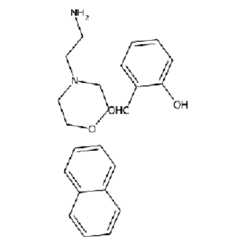 NCCN1CCOCC1.O=Cc1ccccc1O.c1ccc2ccccc2c1